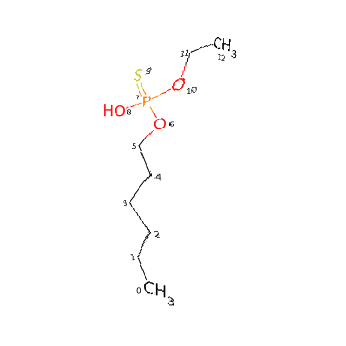 CCCCCCOP(O)(=S)OCC